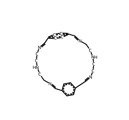 C1=N/CCNCC/N=C/c2ccc(cc2)/C=N/CCNCC/N=C/c2ccc/1cc2